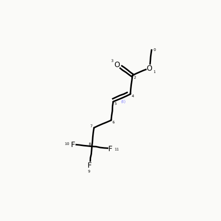 COC(=O)/C=C/CCC(F)(F)F